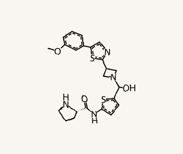 COc1cccc(-c2cnc(C3CN(C(O)c4ccc(NC(=O)[C@@H]5CCCN5)s4)C3)s2)c1